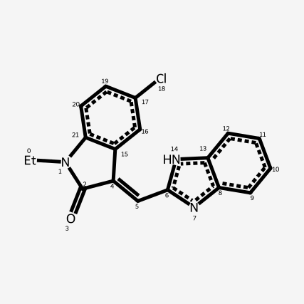 CCN1C(=O)/C(=C/c2nc3ccccc3[nH]2)c2cc(Cl)ccc21